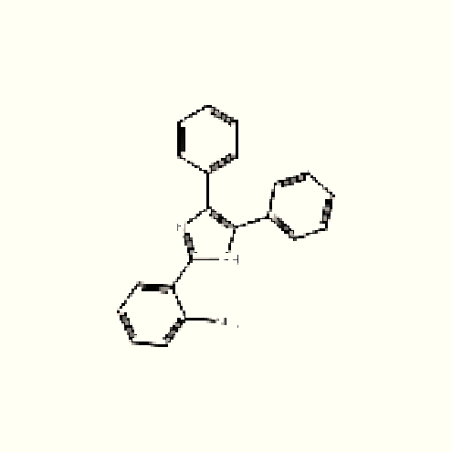 Nc1ccccc1-c1nc(-c2ccccc2)c(-c2ccccc2)[nH]1